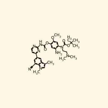 COc1cc(N(CCN(C)C)C(=O)OC(C)(C)C)c(N)cc1OC(=O)Nc1nccc(-c2cc(C#N)c3c(c2)c(C)cn3C)n1